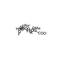 COc1cc2c(Oc3ccc(NC(=O)C4(C(=O)Nc5ccc(F)cc5)CC4)cc3F)ccnc2cc1OCCCC(=O)[O-].[Na+]